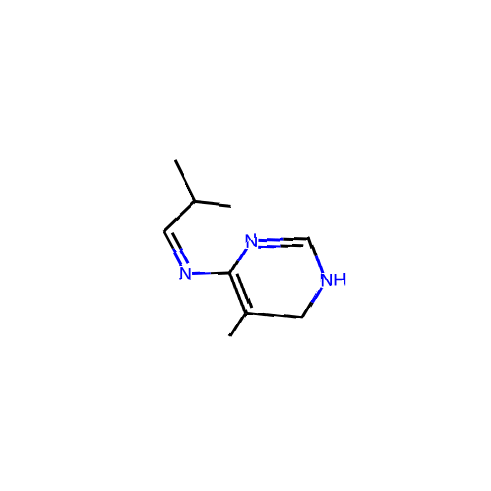 CC1=C(/N=C\C(C)C)N=CNC1